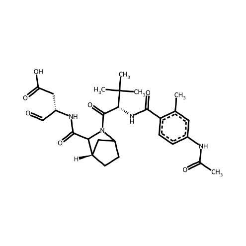 CC(=O)Nc1ccc(C(=O)N[C@H](C(=O)N2C3CC[C@@H](C3)C2C(=O)N[C@H](C=O)CC(=O)O)C(C)(C)C)c(C)c1